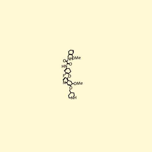 COC1=C(CNC(=O)C(=O)NC2=CC(F)=C(Oc3ccnc4c3CC(OC)C(OCC3CCNCC3)=C4)CC2)CCC=C1